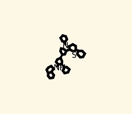 c1ccc(-c2cc(-c3ccc4c(c3)c3c5sc6ccccc6c5ccc3n4-c3ccccc3)ccc2Nc2cccc3ccccc23)cc1